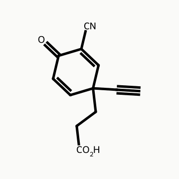 C#CC1(CCC(=O)O)C=CC(=O)C(C#N)=C1